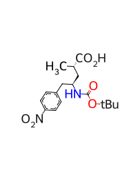 C[C@@H](C[C@H](Cc1ccc([N+](=O)[O-])cc1)NC(=O)OC(C)(C)C)C(=O)O